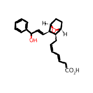 O=C(O)CC=C/C=C\C[C@H]1[C@@H](/C=C/C(O)c2ccccc2)[C@H]2CC[C@@H]1O2